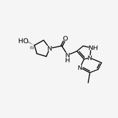 CC1=NC2=C(NC(=O)N3CC[C@H](O)C3)CNN2C=C1